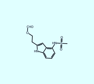 CS(=O)(=O)Nc1cccc2[nH]c(CCOC=O)cc12